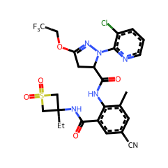 CCC1(NC(=O)c2cc(C#N)cc(C)c2NC(=O)C2CC(OCC(F)(F)F)=NN2c2ncccc2Cl)CS(=O)(=O)C1